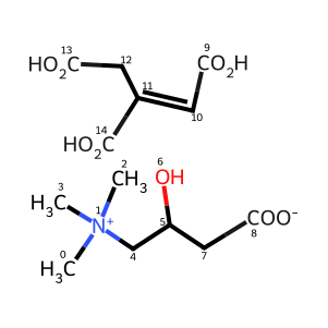 C[N+](C)(C)CC(O)CC(=O)[O-].O=C(O)C=C(CC(=O)O)C(=O)O